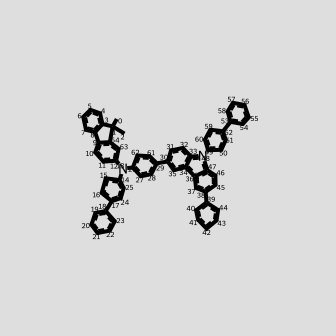 CC1(C)c2ccccc2-c2ccc(N(c3ccc(-c4ccccc4)cc3)c3ccc(-c4ccc5c(c4)c4cc(-c6ccccc6)ccc4n5-c4ccc(-c5ccccc5)cc4)cc3)cc21